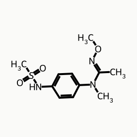 CON=C(C)N(C)c1ccc(NS(C)(=O)=O)cc1